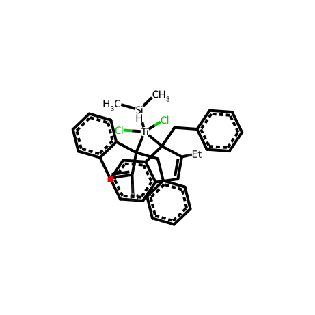 CCC1=Cc2ccccc2[C]1(Cc1ccccc1)[Ti]([Cl])([Cl])([SiH](C)C)[C]1(Cc2ccccc2)C(CC)=Cc2ccccc21